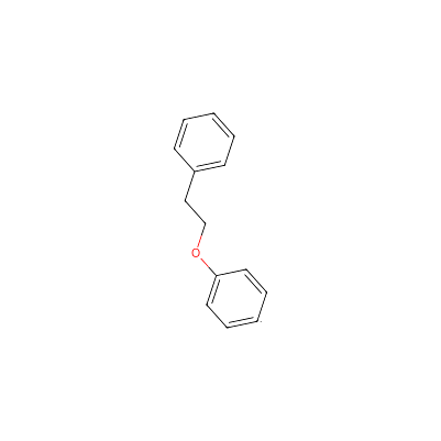 [c]1ccc(OCCc2ccccc2)cc1